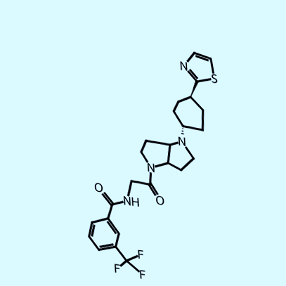 O=C(NCC(=O)N1CCC2C1CCN2[C@H]1CC[C@H](c2nccs2)CC1)c1cccc(C(F)(F)F)c1